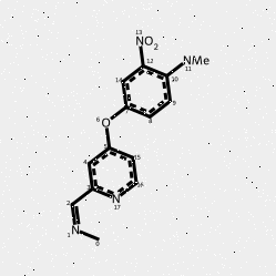 C/N=C\c1cc(Oc2ccc(NC)c([N+](=O)[O-])c2)ccn1